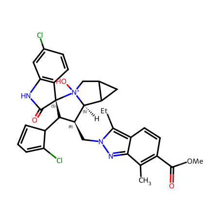 CCc1c2ccc(C(=O)OC)c(C)c2nn1C[C@H]1C(C2C=CC=C2Cl)[C@]2(C(=O)Nc3cc(Cl)ccc32)[N+]2(O)CC3CC3[C@@H]12